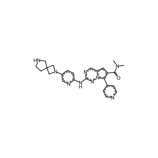 CN(C)C(=O)c1cc2cnc(Nc3ccc(N4CC5(CCNC5)C4)cn3)nn2c1-c1ccncc1